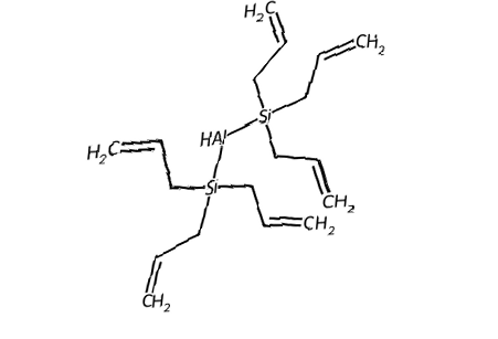 C=CC[Si](CC=C)(CC=C)[AlH][Si](CC=C)(CC=C)CC=C